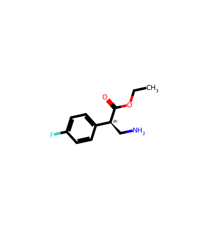 CCOC(=O)[C@@H](CN)c1ccc(F)cc1